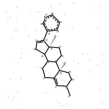 CC1C=C2CCC3C(CC[C@]4(C)C(c5cccnc5)=CCC34)[C@@]2(C)CC1